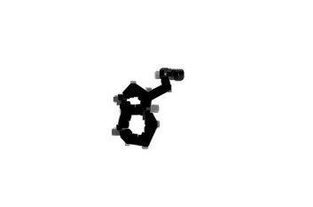 O=CCc1cnc2ncccn12